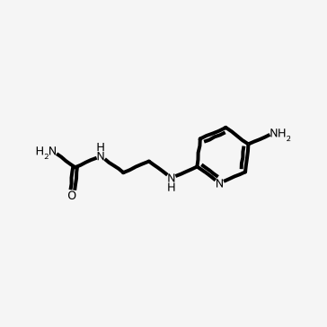 NC(=O)NCCNc1ccc(N)cn1